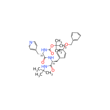 CC(C)(C)NC(=O)[C@H](Cc1ccc(OCc2ccccc2)cc1)NC(=O)[C@H](Cc1ccncc1)NC(=O)OC(C)(C)C